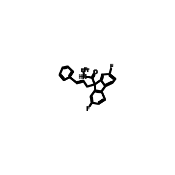 CCCNC(=O)C1(CC=Cc2ccccc2)c2cc(F)ccc2-c2ccc(F)cc21